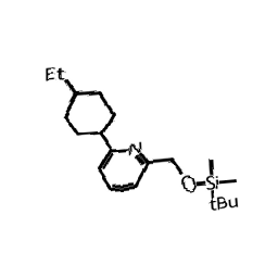 CCC1CCC(c2cccc(CO[Si](C)(C)C(C)(C)C)n2)CC1